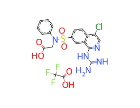 N=C(N)Nc1ncc(Cl)c2ccc(S(=O)(=O)N(CC(=O)O)c3ccccc3)cc12.O=C(O)C(F)(F)F